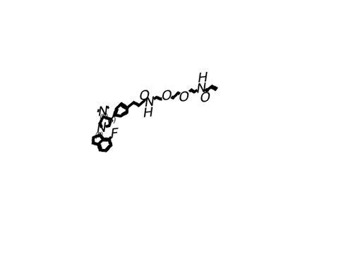 C=CC(=O)NCCOCCOCCNC(=O)CCc1ccc([C@H]2CN([C@H]3CCc4cccc(F)c43)C[C@@H]2N(C)C)cc1